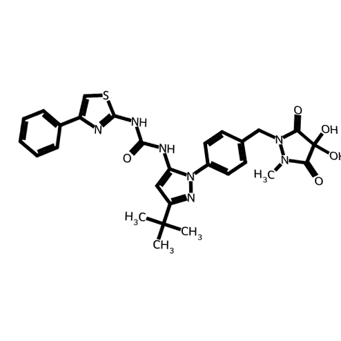 CN1C(=O)C(O)(O)C(=O)N1Cc1ccc(-n2nc(C(C)(C)C)cc2NC(=O)Nc2nc(-c3ccccc3)cs2)cc1